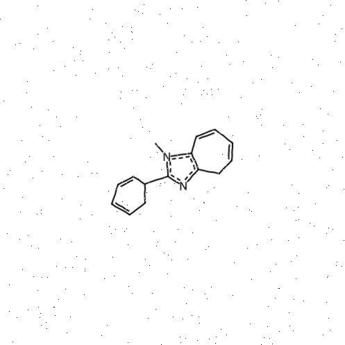 Cn1c(C2C=CC=CC2)nc2c1C=CC=CC2